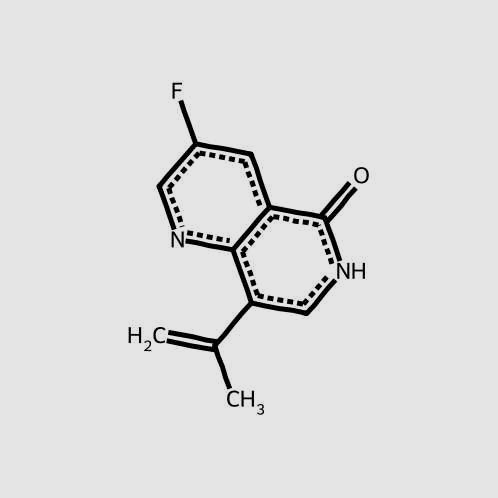 C=C(C)c1c[nH]c(=O)c2cc(F)cnc12